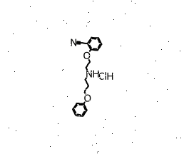 Cl.N#Cc1ccccc1OCCNCCCOc1ccccc1